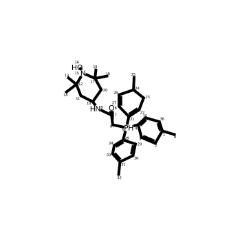 Cc1ccc([PH](CC(=O)NC2CC(C)(C)N(O)C(C)(C)C2)(C2=CCC(C)C=C2)c2ccc(C)cc2)cc1